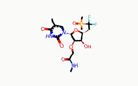 CNC(=O)CO[C@@H]1[C@H](O)[C@@H](CC(F)(F)P(C)(C)=O)O[C@H]1n1cc(C)c(=O)[nH]c1=O